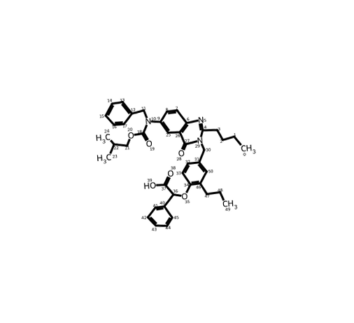 CCCCc1nc2ccc(N(Cc3ccccc3)C(=O)OCC(C)C)cc2c(=O)n1Cc1ccc(OC(C(=O)O)c2ccccc2)c(CCC)c1